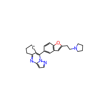 c1cc2nc3c(c(-c4ccc5oc(CCN6CCCC6)cc5c4)n2n1)CCCC3